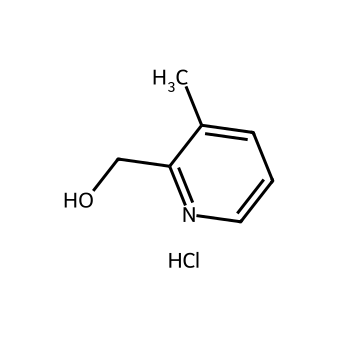 Cc1cccnc1CO.Cl